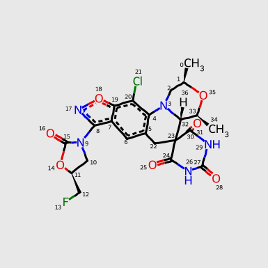 C[C@@H]1CN2c3c(cc4c(N5C[C@@H](CF)OC5=O)noc4c3Cl)CC3(C(=O)NC(=O)NC3=O)[C@H]2[C@H](C)O1